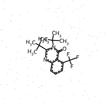 CC(C)(C)c1nc2cccc(C(F)(F)F)c2c(=O)n1C(C)(C)C